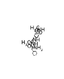 CNS(=O)(=O)c1ccc(NC[C@H](C)NC(=O)[C@@H](N)CC2CCCCC2)cc1